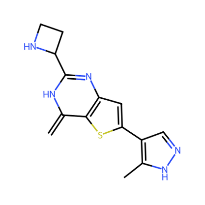 C=C1NC(C2CCN2)=Nc2cc(-c3cn[nH]c3C)sc21